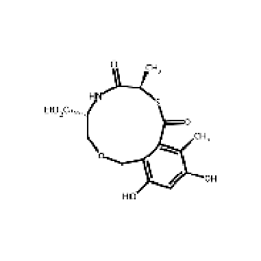 CCOC(=O)[C@H]1COCc2c(O)cc(O)c(C)c2C(=O)S[C@H](C)C(=O)N1